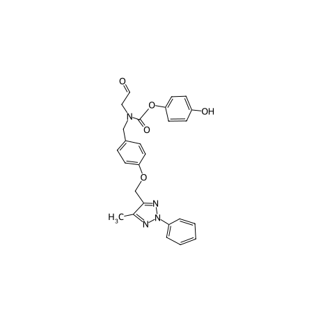 Cc1nn(-c2ccccc2)nc1COc1ccc(CN(CC=O)C(=O)Oc2ccc(O)cc2)cc1